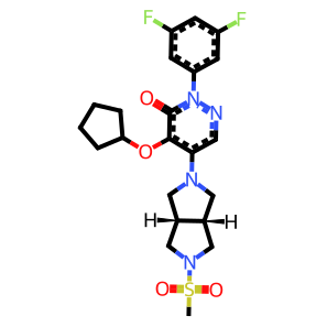 CS(=O)(=O)N1C[C@H]2CN(c3cnn(-c4cc(F)cc(F)c4)c(=O)c3OC3CCCC3)C[C@H]2C1